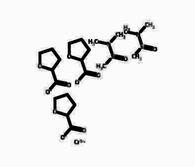 CN(C)[Si](C)=O.CN(C)[Si](C)=O.O=C([O-])C1CCCO1.O=C([O-])C1CCCO1.O=C([O-])C1CCCO1.[Cr+3]